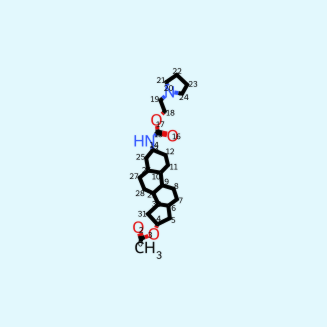 CC(=O)OC1CC2CCC3C4CCC(NC(=O)OCCN5CCCC5)CC4CCC3C2C1